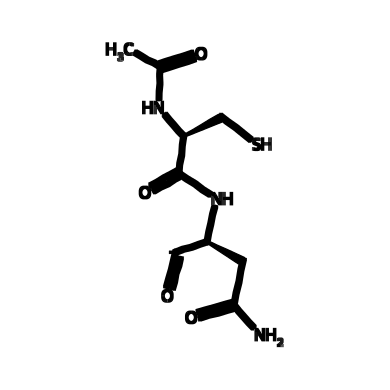 CC(=O)N[C@@H](CS)C(=O)N[C@H]([C]=O)CC(N)=O